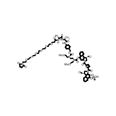 COCCN(CCN(CCOC)C(=O)Oc1cc2c(c3ccccc13)[C@H](CCl)CN2C(=O)c1ccc(C(=O)N2C[C@@H](CCl)c3c2cc(OP(=O)(O)O)c2ccccc32)s1)C(=O)OCc1ccc(NC(=O)[C@H](C)NC(=O)[C@@H](NC(=O)CCOCCOCCOCCOCCOCCOCCN2C(=O)C=CC2=O)C(C)C)cc1